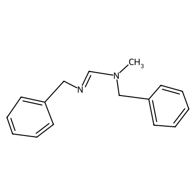 CN(/C=N/Cc1ccccc1)Cc1ccccc1